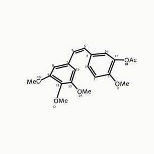 COc1ccc(/C=C\c2cc(OC)c(OC)c(OC)c2)cc1OC(C)=O